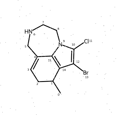 CC1CC=C2CNCCn3c(Cl)c(Br)c1c32